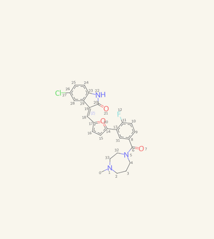 CN1CCCN(C(=O)c2ccc(F)c(-c3ccc(/C=C4\C(=O)Nc5ccc(Cl)cc54)o3)c2)CC1